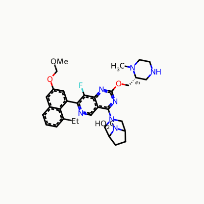 CCc1cccc2cc(OCOC)cc(-c3ncc4c(N5CC6CCC(C5)N6C(=O)O)nc(OC[C@H]5CNCCN5C)nc4c3F)c12